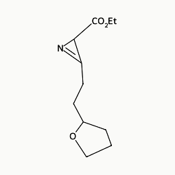 CCOC(=O)C1N=C1CCC1CCCO1